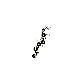 Cc1c(Cc2nccc3cc(CN4CCCC4)cnc23)cccc1-c1cccc(-c2nc3cc(CN4CC(C(=O)O)C4)cc(C#N)c3o2)c1C